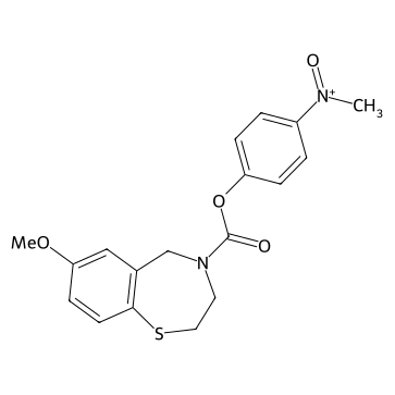 COc1ccc2c(c1)CN(C(=O)Oc1ccc([N+](C)=O)cc1)CCS2